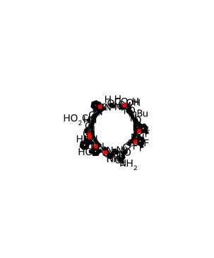 CCCC[C@H]1C(=O)N2C[C@H](O)C[C@@H]2C(=O)N[C@@H](CC(=O)O)C(=O)N[C@@H](C(C)C)C(=O)N(C)[C@@H](Cc2ccccc2)C(=O)N[C@@H](CCC(=O)O)C(=O)N2CCOC[C@@H]2C(=O)N[C@@H](Cc2c[nH]c3ccccc23)C(=O)N[C@@H](Cc2ccc(O)cc2)C(=O)N[C@@H](CC(N)=O)C(=O)N[C@H](C(=O)NCC(N)=O)CSCC(=O)N[C@@H](Cc2cc(F)c(F)c(F)c2)C(=O)N(C)C(Cc2ccc(F)cc2)C(=O)N1C